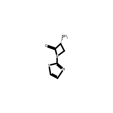 N[C@@H]1CN(c2nccs2)C1=O